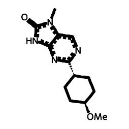 CO[C@H]1CC[C@H](c2ncc3c(n2)[nH]c(=O)n3C)CC1